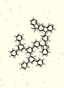 CC1(C)c2ccccc2-c2cc3c(cc21)C(c1ccc(-c2nc4ccccc4n2-c2cccc(-c4cc(-c5cc(-c6ccccc6)cc(-c6ccccc6)c5)cc(-c5cc(-c6ccccc6)cc(-c6ccccc6)c5)c4)c2)cc1)c1ccccc1-3